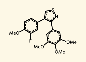 COc1ccc(-c2csnc2-c2cc(OC)c(OC)c(OC)c2)cc1F